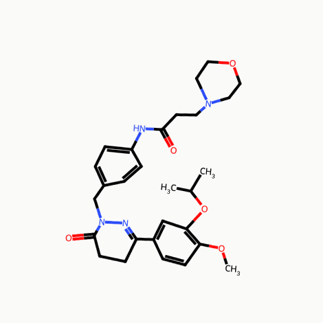 COc1ccc(C2=NN(Cc3ccc(NC(=O)CCN4CCOCC4)cc3)C(=O)CC2)cc1OC(C)C